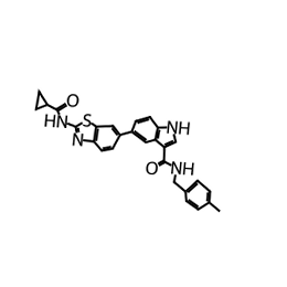 Cc1ccc(CNC(=O)c2c[nH]c3ccc(-c4ccc5nc(NC(=O)C6CC6)sc5c4)cc23)cc1